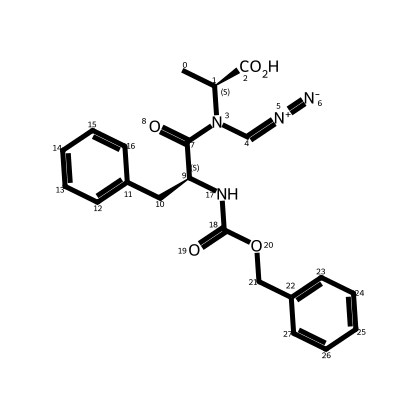 C[C@@H](C(=O)O)N(C=[N+]=[N-])C(=O)[C@H](Cc1ccccc1)NC(=O)OCc1ccccc1